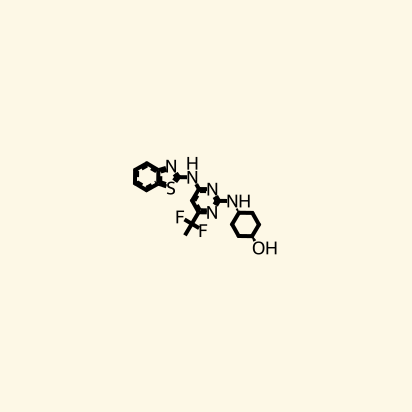 CC(F)(F)c1cc(Nc2nc3ccccc3s2)nc(N[C@H]2CC[C@H](O)CC2)n1